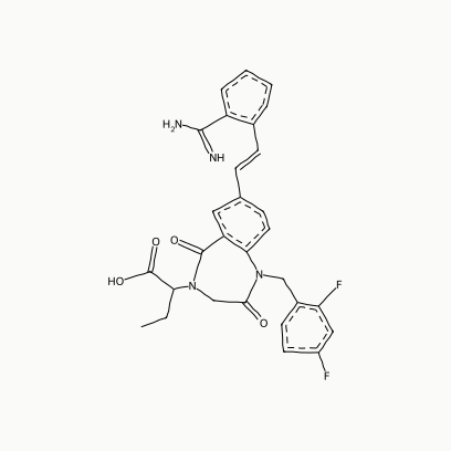 CCC(C(=O)O)N1CC(=O)N(Cc2ccc(F)cc2F)c2ccc(C=Cc3ccccc3C(=N)N)cc2C1=O